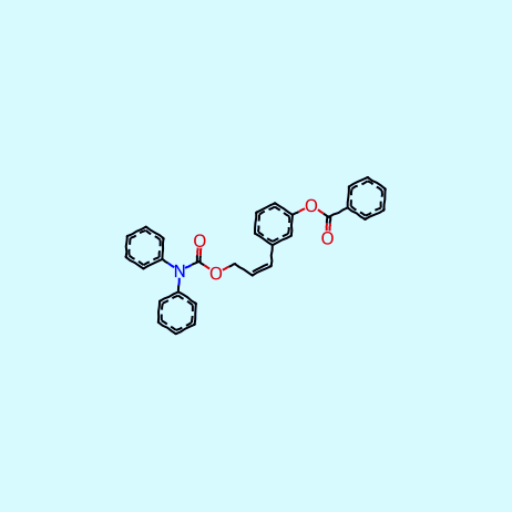 O=C(Oc1cccc(/C=C\COC(=O)N(c2ccccc2)c2ccccc2)c1)c1ccccc1